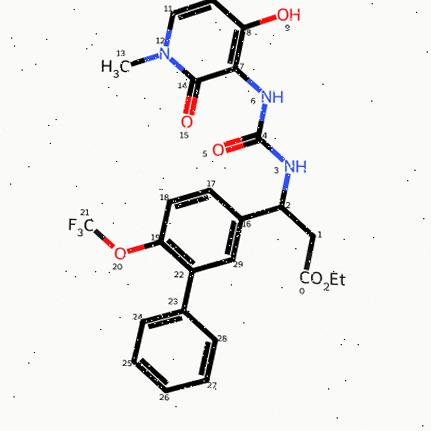 CCOC(=O)CC(NC(=O)Nc1c(O)ccn(C)c1=O)c1ccc(OC(F)(F)F)c(-c2ccccc2)c1